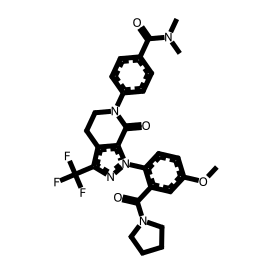 COc1ccc(-n2nc(C(F)(F)F)c3c2C(=O)N(c2ccc(C(=O)N(C)C)cc2)CC3)c(C(=O)N2CCCC2)c1